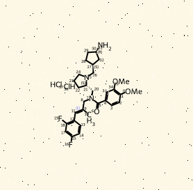 COc1ccc(C(=O)N(C/C(C)=C/c2ccc(F)cc2F)C[C@@H]2CCCN2C[C@H]2CC[C@@H](N)C2)cc1OC.Cl.Cl